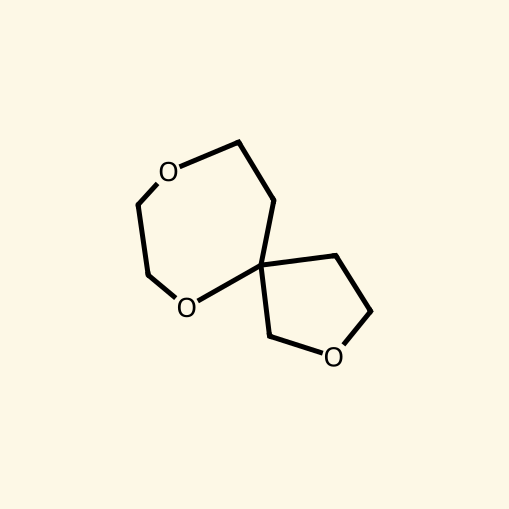 C1COC2(CCO1)CCOC2